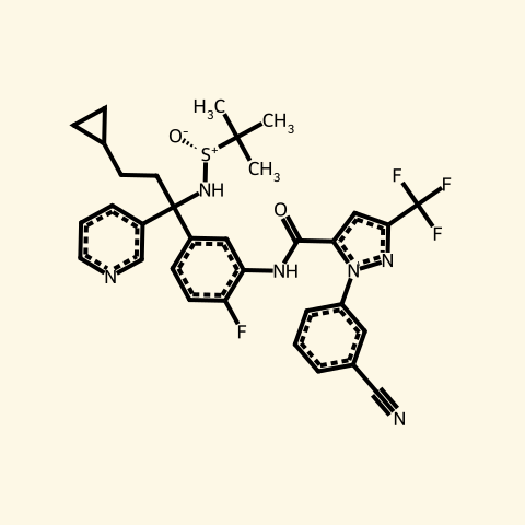 CC(C)(C)[S@@+]([O-])NC(CCC1CC1)(c1cccnc1)c1ccc(F)c(NC(=O)c2cc(C(F)(F)F)nn2-c2cccc(C#N)c2)c1